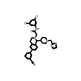 N#Cc1cccc(-c2ccc3c(c2)CCN(CC(=O)Nc2cc(Cl)cc(Cl)c2)C3C2CCN(Cc3nccs3)CC2)c1